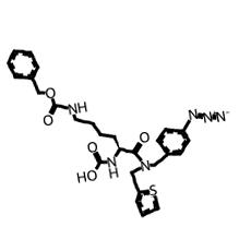 [N-]=[N+]=Nc1ccc(CN(Cc2cccs2)C(=O)[C@H](CCCCNC(=O)OCc2ccccc2)NC(=O)O)cc1